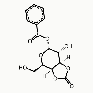 O=C1O[C@@H]2[C@@H](O)[C@@H](OS(=O)c3ccccc3)O[C@H](CO)[C@@H]2O1